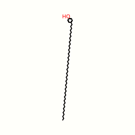 CCCCCCCCCCCCCCCCCCCCCCCCCCCCCCCCCCCCCCCCCCCCCCCCCCc1ccc(O)cc1